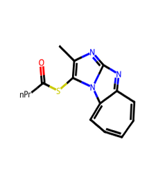 CCCC(=O)Sc1c(C)nc2nc3cccccc3n12